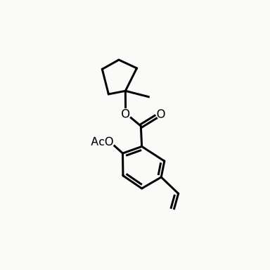 C=Cc1ccc(OC(C)=O)c(C(=O)OC2(C)CCCC2)c1